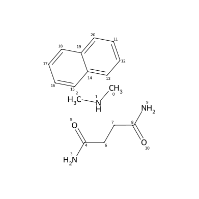 CNC.NC(=O)CCC(N)=O.c1ccc2ccccc2c1